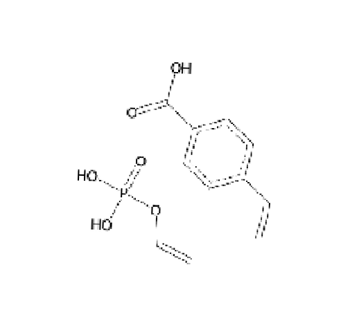 C=COP(=O)(O)O.C=Cc1ccc(C(=O)O)cc1